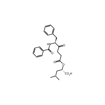 CN(C)C[C@H](OC(=O)CCC(=O)[C@H](Cc1ccccc1)NC(=O)c1ccccc1)C(=O)O